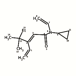 C=C/C(=C\C(=O)N(C=C)C1CC1)C(C)(C)CC